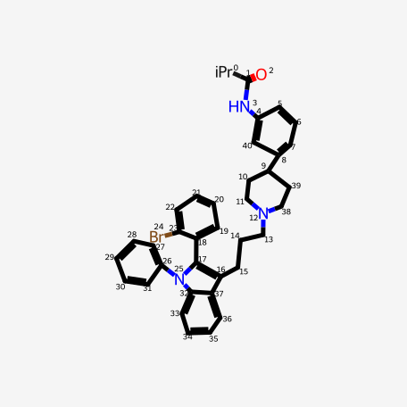 CC(C)C(=O)Nc1cccc(C2CCN(CCCc3c(-c4ccccc4Br)n(-c4ccccc4)c4ccccc34)CC2)c1